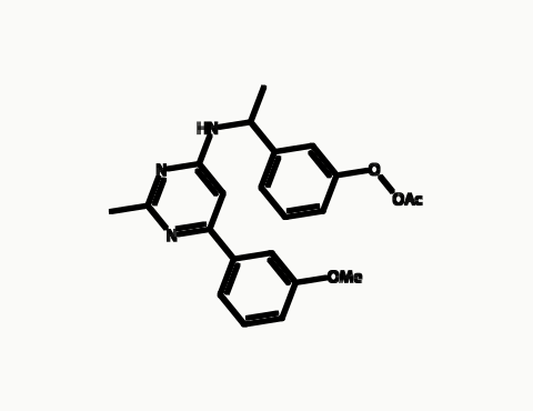 COc1cccc(-c2cc(NC(C)c3cccc(OOC(C)=O)c3)nc(C)n2)c1